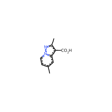 Cc1ccn2nc(C)c(C(=O)O)c2c1